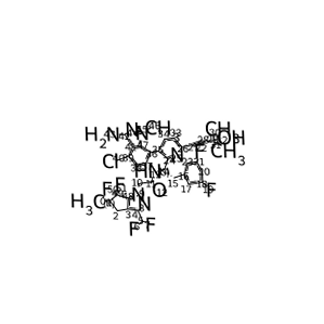 C[C@@H]1Cc2c(C(F)F)nn(CC(=O)N[C@@H](Cc3cc(F)cc(F)c3)c3nc(C#CC(C)(C)O)ccc3-c3ccc(Cl)c4c(N)nn(C)c34)c2C1(F)F